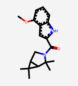 COc1cccc2[nH]c(C(=O)N3CC4C(C4(C)C)C3(C)C)cc12